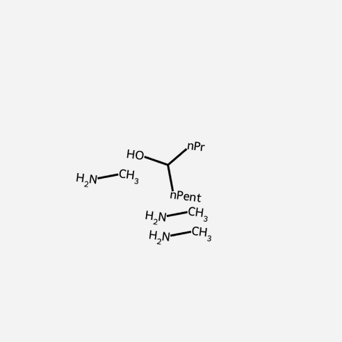 CCCCCC(O)CCC.CN.CN.CN